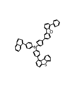 c1ccc(-c2cccc3c2oc2ccc(-c4ccc(N(c5ccc(-c6cccc7ccccc67)cc5)c5ccc(-c6cccc7sc8ccccc8c67)cc5)cc4)cc23)cc1